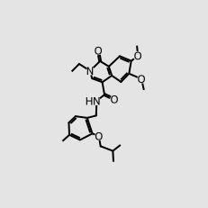 CCn1cc(C(=O)NCc2ccc(C)cc2OCC(C)C)c2cc(OC)c(OC)cc2c1=O